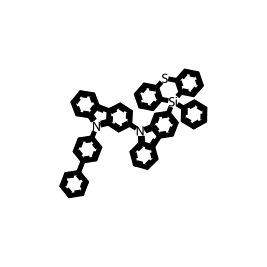 c1ccc(-c2ccc(-n3c4ccccc4c4ccc(-n5c6ccccc6c6ccc([Si]7(c8ccccc8)c8ccccc8Sc8ccccc87)cc65)cc43)cc2)cc1